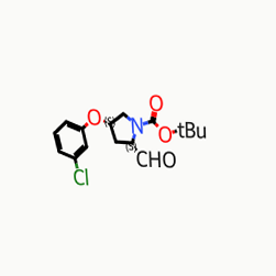 CC(C)(C)OC(=O)N1C[C@@H](Oc2cccc(Cl)c2)C[C@H]1C=O